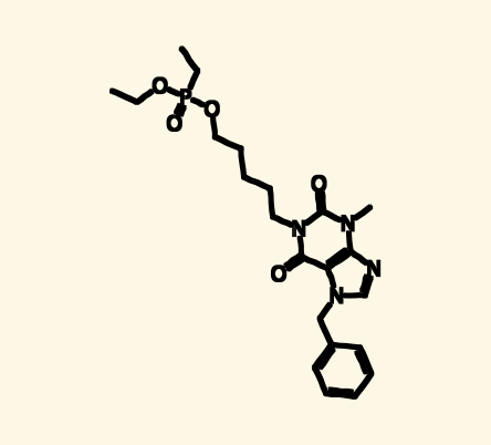 CCOP(=O)(CC)OCCCCCn1c(=O)c2c(ncn2Cc2ccccc2)n(C)c1=O